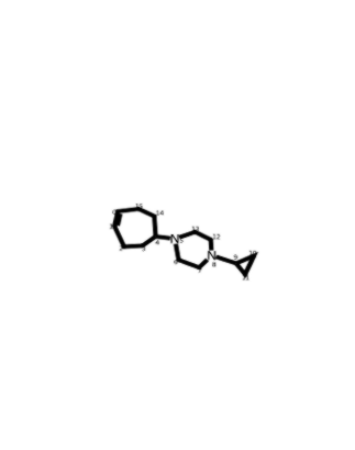 C1=CCCC(N2CCN(C3CC3)CC2)CC1